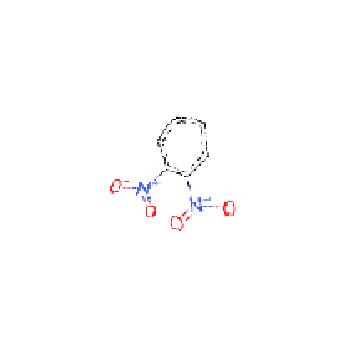 O=[N+]([O-])c1[c]cccc1[N+](=O)[O-]